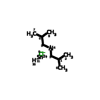 CC(C)[CH2][Al][CH2]C(C)C.[Cl-].[H-].[Sn+2]